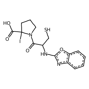 O=C(C(CS)Nc1nc2ccccc2o1)N1CCCC1(I)C(=O)O